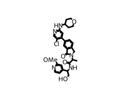 COc1cc(C(CO)NC(=O)C(C)N2Cc3ccc(-c4cc(NC5CCOCC5)ncc4Cl)cc3C2=O)ccn1